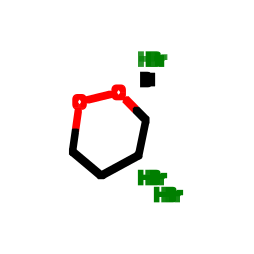 Br.Br.Br.C1CCOOC1.[B]